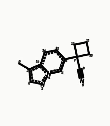 Cc1cnn2cc(C3(C#N)CCC3)ccc12